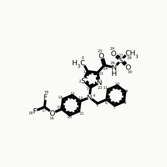 Cc1sc(N(Cc2ccccc2)c2ccc(OC(F)F)cc2)nc1C(=O)NS(C)(=O)=O